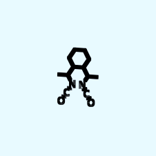 CC(N=C=O)C1CCCCC1C(C)N=C=O